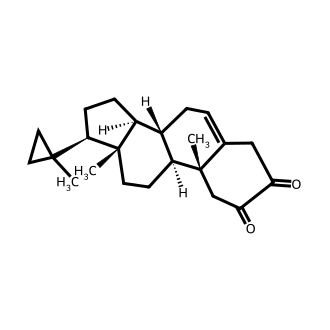 CC1([C@H]2CC[C@H]3[C@@H]4CC=C5CC(=O)C(=O)C[C@]5(C)[C@H]4CC[C@]23C)CC1